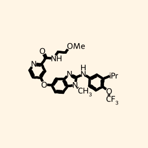 COCCNC(=O)c1cc(Oc2ccc3c(c2)nc(Nc2ccc(OC(F)(F)F)c(C(C)C)c2)n3C)ccn1